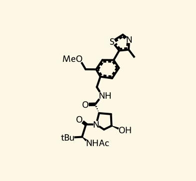 COCc1cc(-c2scnc2C)ccc1CNC(=O)[C@@H]1C[C@@H](O)CN1C(=O)[C@@H](NC(C)=O)C(C)(C)C